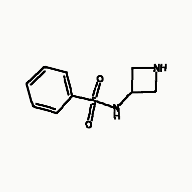 O=S(=O)(NC1CNC1)c1ccccc1